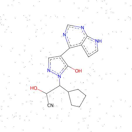 N#CC(O)C(C1CCCC1)n1ncc(-c2ncnc3[nH]ccc23)c1O